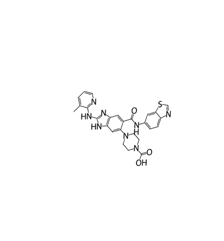 Cc1cccnc1Nc1nc2cc(C(=O)Nc3ccc4ncsc4c3)c(N3CCN(C(=O)O)CC3)cc2[nH]1